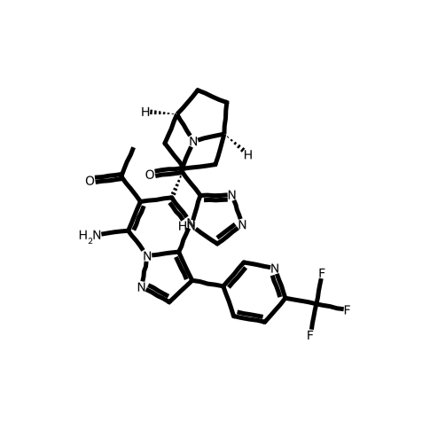 CC(=O)c1c([C@@H]2C[C@H]3CC[C@@H](C2)N3C(=O)c2nnc[nH]2)nc2c(-c3ccc(C(F)(F)F)nc3)cnn2c1N